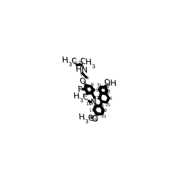 CCC(C)NCCOc1ccc(CN(CC)c2cc(OC)ccc2C2CCc3cc(O)ccc3C2)cc1F